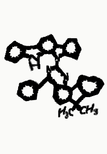 CC1(C)c2ccccc2-c2c1ccc1c(-c3ccccc3)nc(-n3c4ccccc4c4ccc5c6ccccc6[nH]c5c43)nc21